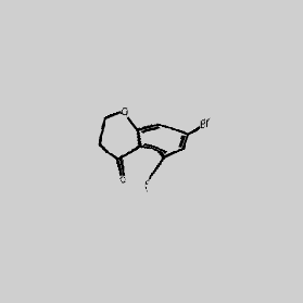 O=C1CCOc2cc(Br)cc(F)c21